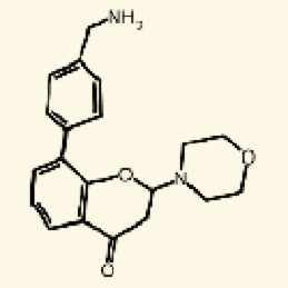 NCc1ccc(-c2cccc3c2OC(N2CCOCC2)CC3=O)cc1